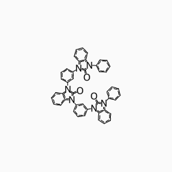 O=c1n(-c2ccccc2)c2ccccc2n1-c1cccc(-n2c(=O)n(-c3cccc(-n4c(=O)n(-c5ccccc5)c5ccccc54)c3)c3ccccc32)c1